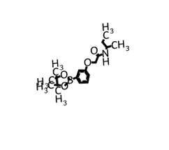 CCC(C)NC(=O)COc1cccc(B2OC(C)(C)C(C)(C)O2)c1